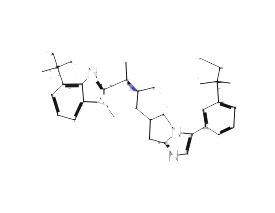 CCC(C)(C)c1cccc(-c2cnc3n2CC(C/C(C)=C(/C)c2nc4c(C(C)(C)C)cccc4n2C)C3)c1